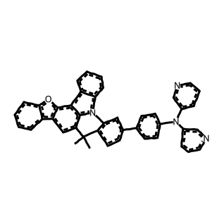 CC1(C)c2ccc(-c3ccc(N(c4cccnc4)c4cccnc4)cc3)cc2-n2c3ccccc3c3c4oc5ccccc5c4cc1c32